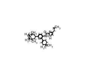 C=NCc1c[nH]c(C(=O)Nc2ccc(C3CC(C)(C)S(=O)(=O)C(C)(C)C3)nc2C2=CCC(C)(C)CC2)n1